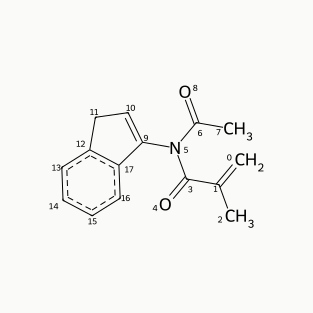 C=C(C)C(=O)N(C(C)=O)C1=CCc2ccccc21